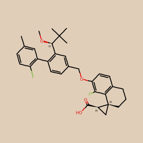 CO[C@H](c1cc(COc2ccc3c(c2F)[C@]2(CCC3)C[C@H]2C(=O)O)ccc1-c1cc(C)ccc1F)C(C)(C)C